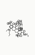 CCCCN(CC)c1cc([N+](=O)[O-])c(O)c2c1CC1CC3[C@H](N(C)C)C(O)=C(C(N)=O)C(=O)[C@@]3(O)C(O)=C1C2=O.O=S(=O)(O)O